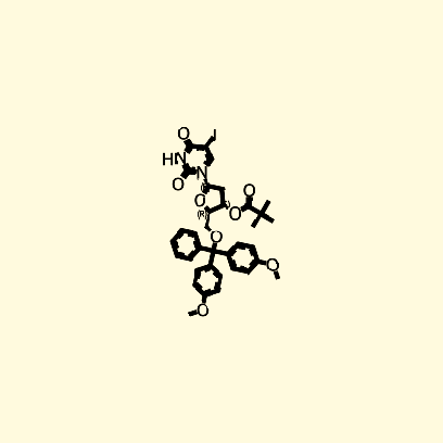 COc1ccc(C(OC[C@H]2O[C@@H](n3cc(I)c(=O)[nH]c3=O)C[C@@H]2OC(=O)C(C)(C)C)(c2ccccc2)c2ccc(OC)cc2)cc1